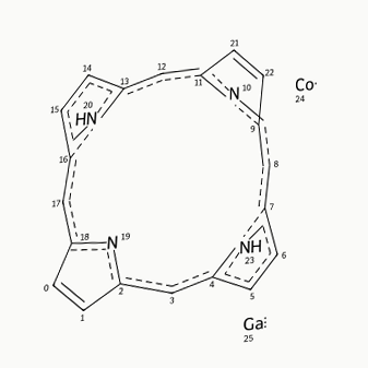 C1=Cc2cc3ccc(cc4nc(cc5ccc(cc1n2)[nH]5)C=C4)[nH]3.[Co].[Ga]